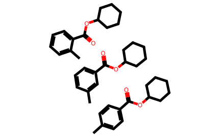 Cc1ccc(C(=O)OC2CCCCC2)cc1.Cc1cccc(C(=O)OC2CCCCC2)c1.Cc1ccccc1C(=O)OC1CCCCC1